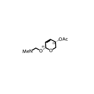 CNCO[C@@H]1C=C[C@H](OC(C)=O)CO1